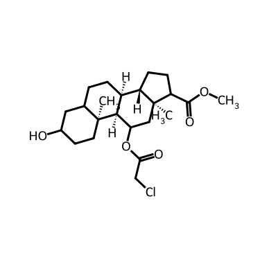 COC(=O)C1CC[C@H]2[C@@H]3CCC4CC(O)CC[C@]4(C)[C@@H]3C(OC(=O)CCl)C[C@]12C